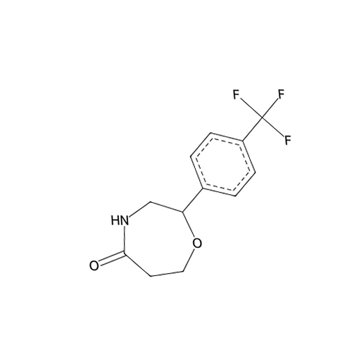 O=C1CCOC(c2ccc(C(F)(F)F)cc2)CN1